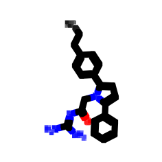 N#CCCc1ccc(-c2ccc(-c3ccccc3)n2CC(=O)N=C(N)N)cc1